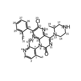 Cc1ccnc(C(C)C)c1-n1c(=O)nc(N2CCNCC2C)c2nc(Cl)c(-c3ccccc3F)nc21